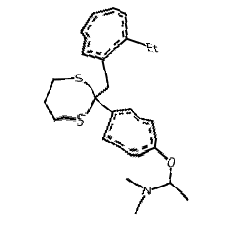 CCc1ccccc1CC1(c2ccc(OC(C)N(C)C)cc2)SCCCS1